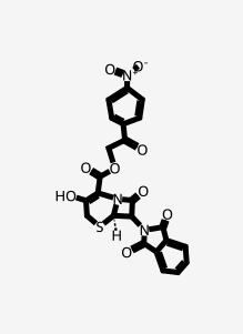 O=C(OCC(=O)c1ccc([N+](=O)[O-])cc1)C1=C(O)CS[C@@H]2C(N3C(=O)c4ccccc4C3=O)C(=O)N12